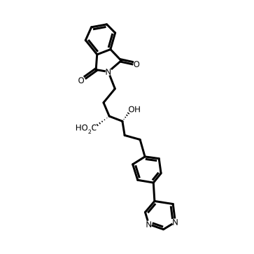 O=C(O)[C@H](CCN1C(=O)c2ccccc2C1=O)[C@H](O)CCc1ccc(-c2cncnc2)cc1